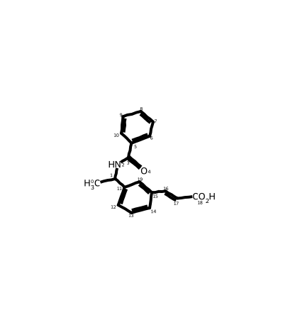 CC(NC(=O)c1ccccc1)c1cccc(/C=C/C(=O)O)c1